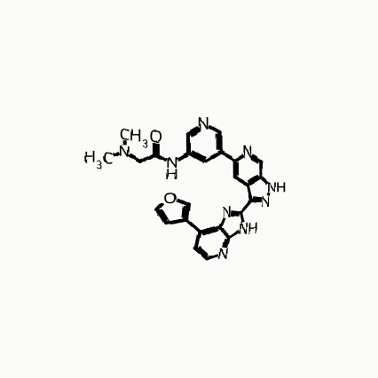 CN(C)CC(=O)Nc1cncc(-c2cc3c(-c4nc5c(-c6ccoc6)ccnc5[nH]4)n[nH]c3cn2)c1